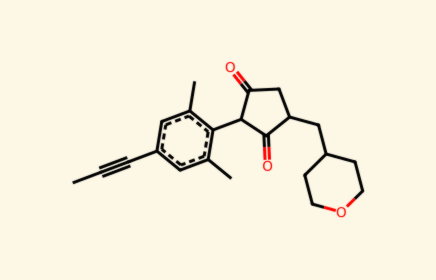 CC#Cc1cc(C)c(C2C(=O)CC(CC3CCOCC3)C2=O)c(C)c1